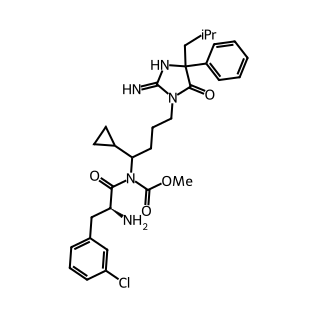 COC(=O)N(C(=O)[C@@H](N)Cc1cccc(Cl)c1)C(CCCN1C(=N)NC(CC(C)C)(c2ccccc2)C1=O)C1CC1